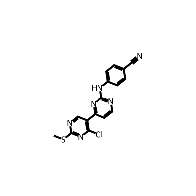 CSc1ncc(-c2ccnc(Nc3ccc(C#N)cc3)n2)c(Cl)n1